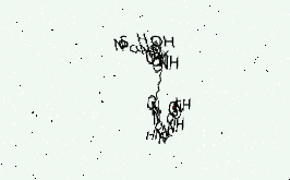 Cc1cnc(Nc2ccc(N3CCN(C(=O)CCCCCCCC(=O)N[C@H](C(=O)N4C[C@H](O)C[C@H]4C(=O)NCc4ccc(-c5scnc5C)cc4)C(C)(C)C)CC3)cc2)nc1Nc1cccc(S(=O)(=O)NC(C)(C)C)c1